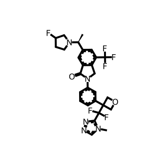 C[C@@H](c1cc2c(c(C(F)(F)F)c1)CN(c1cccc(C3(C(F)(F)c4nncn4C)COC3)c1)C2=O)N1CCC(F)C1